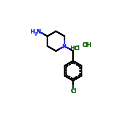 Cl.Cl.NC1CCN(Cc2ccc(Cl)cc2)CC1